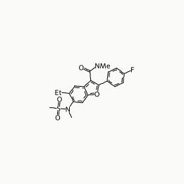 CCc1cc2c(C(=O)NC)c(-c3ccc(F)cc3)oc2cc1N(C)S(C)(=O)=O